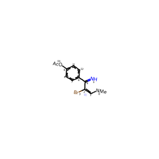 CN/C=C(/Br)C(=N)c1ccc(OC(C)=O)cc1